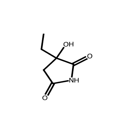 CCC1(O)CC(=O)NC1=O